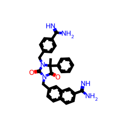 CC1(c2ccccc2)C(=O)N(Cc2ccc3ccc(C(=N)N)cc3c2)C(=O)N1Cc1ccc(C(=N)N)cc1